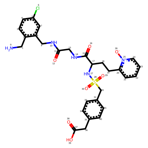 NCc1ccc(Cl)cc1CNC(=O)CNC(=O)C(CCc1cccc[n+]1[O-])NS(=O)(=O)Cc1ccc(CC(=O)O)cc1